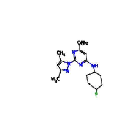 COc1cc(NC2CCC(F)CC2)nc(-n2nc(C)cc2C)n1